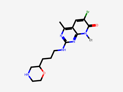 CCn1c(=O)c(Br)cc2c(C)nc(NCCCC3CNCCO3)nc21